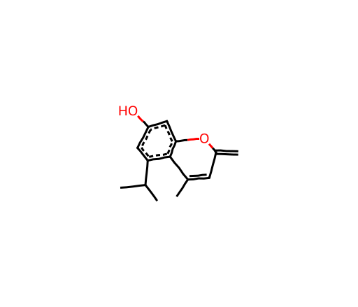 C=C1C=C(C)c2c(cc(O)cc2C(C)C)O1